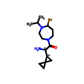 CC(C)N1CCN(C(=O)[C@H](N)[C@H]2CC23CC3)CCC1S